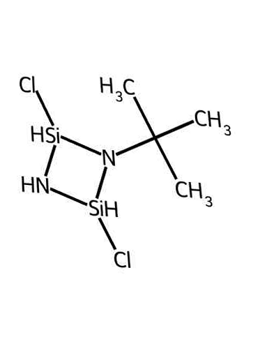 CC(C)(C)N1[SiH](Cl)N[SiH]1Cl